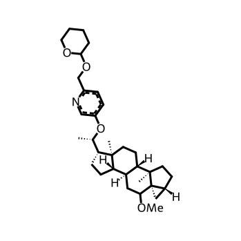 COC1C[C@H]2[C@@H]3CC[C@H]([C@H](C)Oc4ccc(COC5CCCCO5)nc4)[C@@]3(C)CC[C@@H]2[C@@]2(C)CC[C@@H]3C[C@@]132